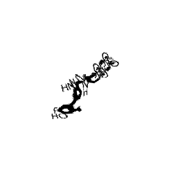 CCc1cc(O)c(F)cc1-c1ccc2c(-c3nc4c([nH]3)CCN(S(=O)(=O)N3CCN(S(C)(=O)=O)CC3)C4)n[nH]c2c1